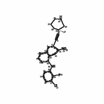 C[C@]1(C#Cc2cc3ncnc(Nc4cccc(Cl)c4F)c3cc2[N+](=O)[O-])CCCNC1